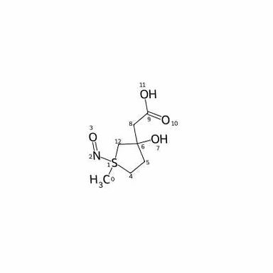 CS1(N=O)CCC(O)(CC(=O)O)C1